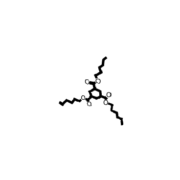 CCCCCCOC(=O)C1CC(C(=O)OCCCCCC)CC(C(=O)OCCCCCC)C1